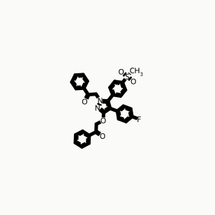 CS(=O)(=O)c1ccc(-c2c(-c3ccc(F)cc3)c(OCC(=O)c3ccccc3)nn2CC(=O)c2ccccc2)cc1